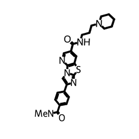 CNC(=O)c1ccc(-c2cn3c(n2)sc2cc(C(=O)NCCCN4CCCCC4)cnc23)cc1